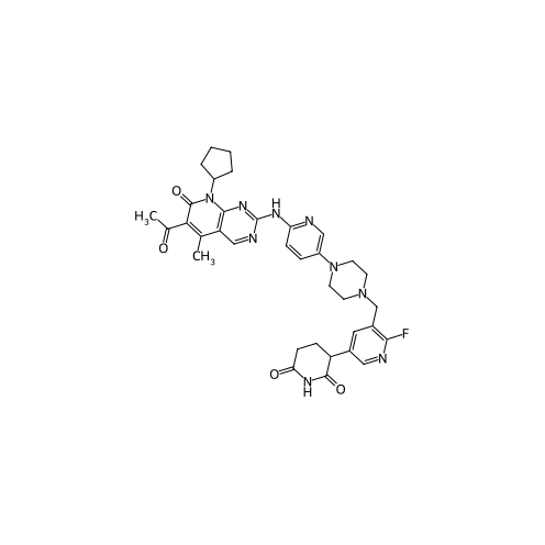 CC(=O)c1c(C)c2cnc(Nc3ccc(N4CCN(Cc5cc(C6CCC(=O)NC6=O)cnc5F)CC4)cn3)nc2n(C2CCCC2)c1=O